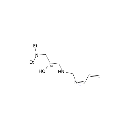 C=C/C=N\CNC[C@H](O)CN(CC)CC